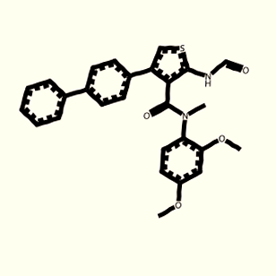 COc1ccc(N(C)C(=O)c2c(-c3ccc(-c4ccccc4)cc3)csc2NC=O)c(OC)c1